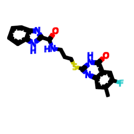 Cc1cc2nc(SCCCNC(=O)c3nc4ccccc4[nH]3)[nH]c(=O)c2cc1F